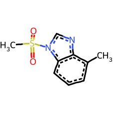 Cc1cccc2c1ncn2S(C)(=O)=O